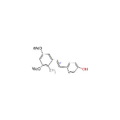 COc1cc(/C=C/c2ccc(O)cc2)c(C)c(OC)c1